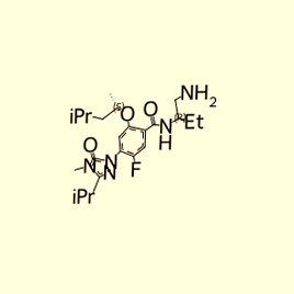 CC[C@H](CN)NC(=O)c1cc(F)c(-n2nc(C(C)C)n(C)c2=O)cc1O[C@@H](C)CC(C)C